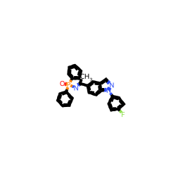 C/C(=N\P(=O)(c1ccccc1)c1ccccc1)c1ccc2c(cnn2-c2ccc(F)cc2)c1